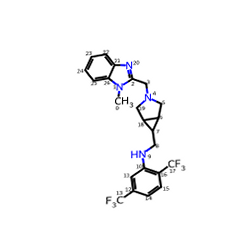 Cn1c(CN2CC3C(CNc4cc(C(F)(F)F)ccc4C(F)(F)F)C3C2)nc2ccccc21